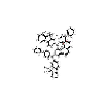 CC1(C)c2ccccc2-c2ccc(N(c3ccc(-c4ccccc4)cc3)c3cc(N(c4ccc(-c5ccccc5)cc4)c4ccc5c(c4)C(C)(C)c4ccccc4-5)c4c(ccc5ccccc54)c3)cc21